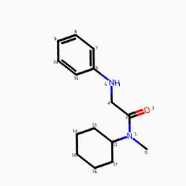 CN(C(=O)CNc1ccccc1)C1CCCCC1